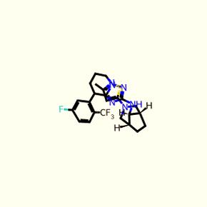 Cc1cc(N2C[C@H]3CC[C@@H](C2)[C@@H]3Nc2nc3n(n2)CCCC3c2cc(F)ccc2C(F)(F)F)sn1